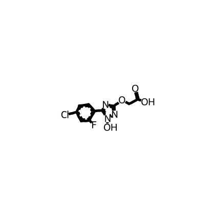 O=C(O)COc1nc(-c2ccc(Cl)cc2F)n(O)n1